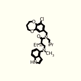 CC[C@H](CN(C)c1cccc2[nH]ccc12)C(=O)N(Cc1cc(Cl)c2c(c1)OCCCO2)CC(C)C